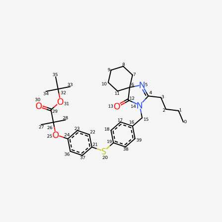 CCCCC1=NC2(CCCCC2)C(=O)N1Cc1ccc(Sc2ccc(OC(C)(C)C(=O)OC(C)(C)C)cc2)cc1